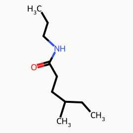 CCCNC(=O)CCC(C)CC